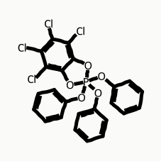 Clc1c(Cl)c(Cl)c2c(c1Cl)OP(Oc1ccccc1)(Oc1ccccc1)(Oc1ccccc1)O2